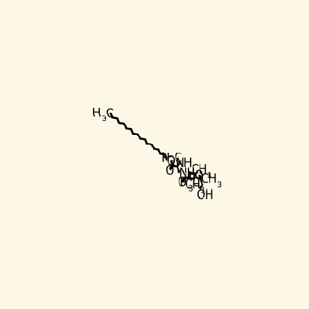 CCCCCCCCCCCCCCCCCCOC(=O)C(CNC(=O)C1(C)CC(C)(OC(C)(C)CCO)C1)NC